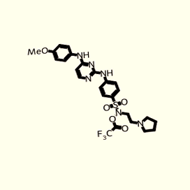 COc1ccc(Nc2ccnc(Nc3ccc(S(=O)(=O)N(CCN4CCCC4)OC(=O)C(F)(F)F)cc3)n2)cc1